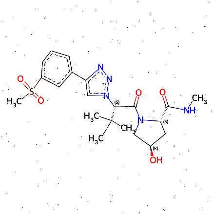 CNC(=O)[C@@H]1C[C@@H](O)CN1C(=O)[C@@H](n1cc(-c2cccc(S(C)(=O)=O)c2)nn1)C(C)(C)C